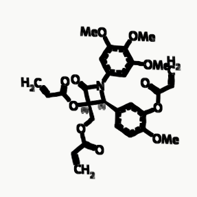 C=CC(=O)OC[C@@]1(OC(=O)C=C)C(=O)N(c2cc(OC)c(OC)c(OC)c2)[C@H]1c1ccc(OC)c(OC(=O)C=C)c1